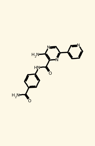 NC(=O)c1ccc(NC(=O)c2nc(-c3cccnc3)cnc2N)cc1